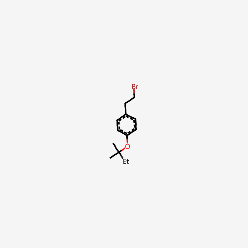 CCC(C)(C)Oc1ccc(CCBr)cc1